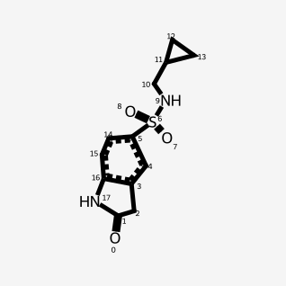 O=C1Cc2cc(S(=O)(=O)NCC3CC3)ccc2N1